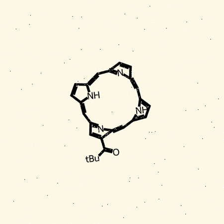 CC(C)(C)C(=O)C1=Cc2cc3ccc(cc4nc(cc5ccc(cc1n2)[nH]5)C=C4)[nH]3